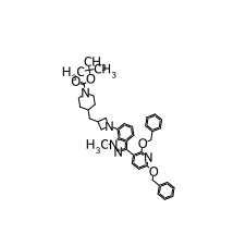 Cn1nc(-c2ccc(OCc3ccccc3)nc2OCc2ccccc2)c2cccc(N3CC(CC4CCN(C(=O)OC(C)(C)C)CC4)C3)c21